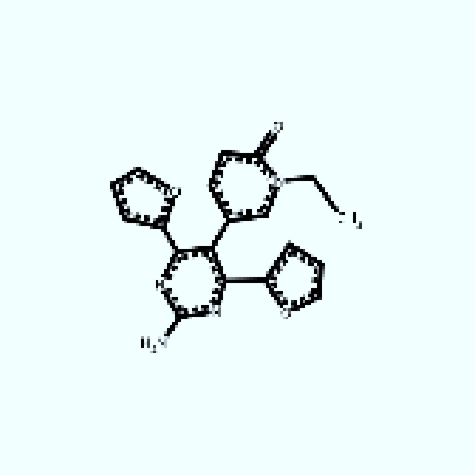 CCn1cc(-c2c(-c3ccco3)nc(N)nc2-c2ccco2)ccc1=O